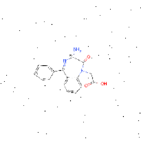 N[C@H]1N=C(c2ccccc2)c2ccccc2N(CC(=O)O)C1=O